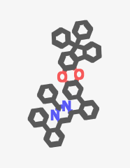 C1=CC(c2ccccc2-c2cc(-c3ccccc3-c3ccccc3)nc(-c3ccccc3)n2)CC2=C1Oc1ccc3c(c1O2)-c1ccccc1C3(c1ccccc1)c1ccccc1